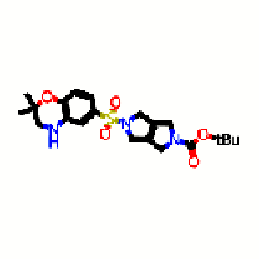 CC(C)(C)OC(=O)N1CC2=C(C1)CN(S(=O)(=O)c1ccc3c(c1)NCC(C)(C)O3)C2